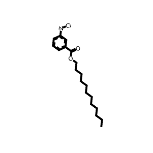 CCCCCCCCCCCCOC(=O)c1cccc([N]Cl)c1